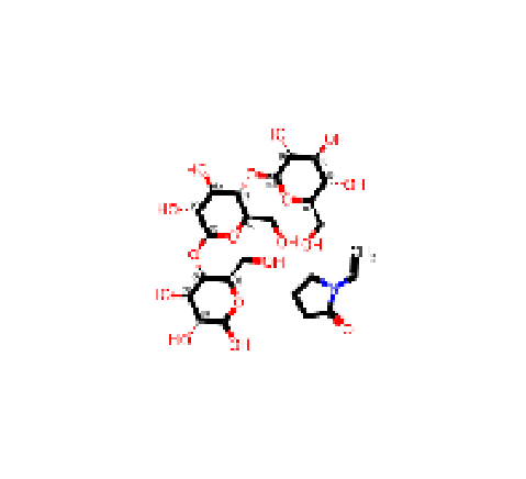 C=CN1CCCC1=O.OC[C@H]1O[C@@H](O[C@H]2[C@H](O)[C@@H](O)[C@H](O[C@H]3[C@H](O)[C@@H](O)C(O)O[C@@H]3CO)O[C@@H]2CO)[C@H](O)[C@@H](O)[C@@H]1O